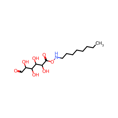 CCCCCCCCNOC(=O)C(O)C(O)C(O)C(O)C=O